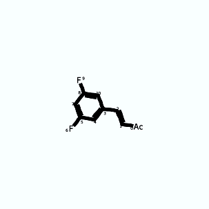 CC(=O)C=Cc1cc(F)cc(F)c1